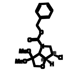 COC1(OC)CO[C@H]2C1N(C(=O)OCc1ccccc1)C[C@@H]2Cl